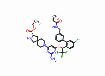 C=CC(=O)NCc1cccc(-c2cc(Cl)ccc2C(Oc2cc(N3CCC4(CC3)CN[C@H](C(=O)OCC)C4)nc(N)n2)C(F)(F)F)c1